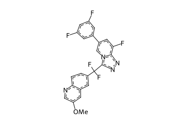 COc1cnc2ccc(C(F)(F)c3nnc4c(F)cc(-c5cc(F)cc(F)c5)cn34)cc2c1